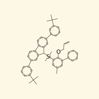 C=CCOc1c(-c2ccccc2)cc(C)cc1[Si](C)(C)C1c2cc(-c3cccc(C(C)(C)C)c3)ccc2-c2ccc(-c3cccc(C(C)(C)C)c3)cc21